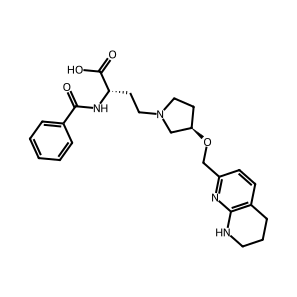 O=C(N[C@@H](CCN1CC[C@@H](OCc2ccc3c(n2)NCCC3)C1)C(=O)O)c1ccccc1